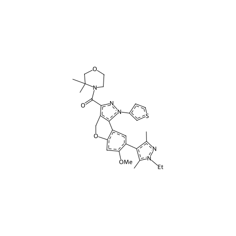 CCn1nc(C)c(-c2cc3c(cc2OC)OCc2c(C(=O)N4CCOCC4(C)C)nn(-c4ccsc4)c2-3)c1C